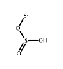 O=S(O)O[S]